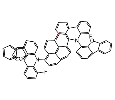 Fc1cccc(-c2ccccc2)c1N(c1ccc2ccc3c(N(c4c(F)cccc4-c4ccccc4)c4cccc5c4oc4ccccc45)ccc4ccc1c2c43)c1cccc2c1oc1ccccc12